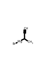 C#C[CH](C)[Mg][Br]